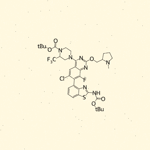 CN1CCCC1COc1nc(N2CCN(C(=O)OC(C)(C)C)C(C(F)(F)F)C2)c2cc(Cl)c(-c3cccc4sc(NC(=O)OC(C)(C)C)nc34)c(F)c2n1